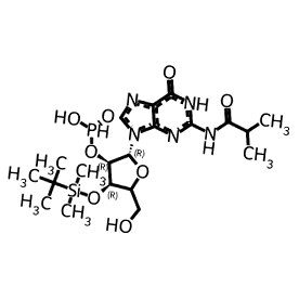 CC(C)C(=O)Nc1nc2c(ncn2[C@@H]2OC(CO)[C@@H](O[Si](C)(C)C(C)(C)C)[C@H]2O[PH](=O)O)c(=O)[nH]1